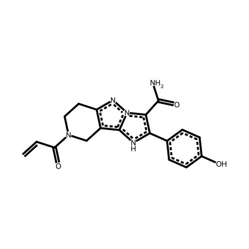 C=CC(=O)N1CCc2nn3c(C(N)=O)c(-c4ccc(O)cc4)[nH]c3c2C1